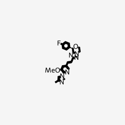 COc1cc(/C=C/c2nc3n(n2)CCO[C@@H]3c2ccc(F)cc2)cnc1-n1cnc(C)c1